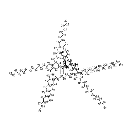 [CH2]Cc1ccc(-c2nc(Nc3cc(CCCCCCCCCCCCCCC)c(CCCCCCCCCCCCCCC)c(CCCCCCCCCCCCCCC)c3)nc(Nc3cc(CCCCCCCCCCCCCCC)c(CCCCCCCCCCCCCCC)c(CCCCCCCCCCCCCCC)c3)n2)cc1